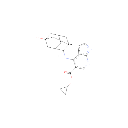 O=C(OC1CC1)c1cnc2[nH]ccc2c1NC1[C@@H]2CC3C[C@H]1CC(O)(C3)C2